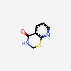 O=C1NCSc2ncccc21